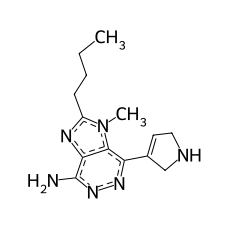 CCCCc1nc2c(N)nnc(C3=CCNC3)c2n1C